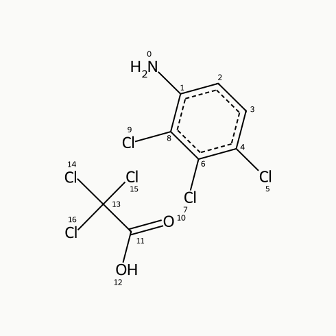 Nc1ccc(Cl)c(Cl)c1Cl.O=C(O)C(Cl)(Cl)Cl